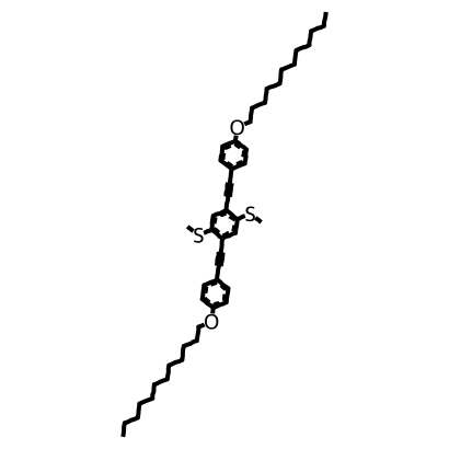 CCCCCCCCCCCCOc1ccc(C#Cc2cc(SC)c(C#Cc3ccc(OCCCCCCCCCCCC)cc3)cc2SC)cc1